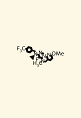 COc1ccc(CN(C)c2ncnc(N(Cc3ccc(C(F)(F)F)cc3)C3CC3)c2F)cn1